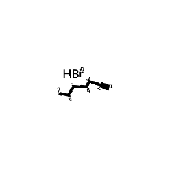 Br.C#CCCCCC